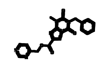 Cn1c(=O)n(Cc2ccccc2)c(=O)c2cc(C(=O)OCc3ccncn3)sc21